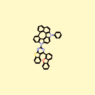 c1ccc(-n2c3ccc4cccc5c4c3c3c4c6c-5cccc6n(-c5nc(-c6cccc7c6oc6ccccc67)c6c(n5)sc5ccccc56)c4ccc32)cc1